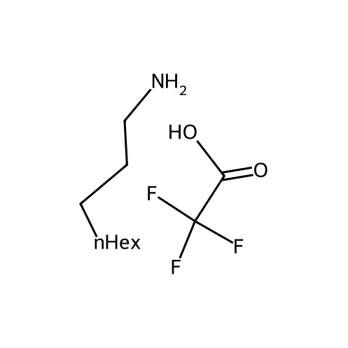 CCCCCCCCCN.O=C(O)C(F)(F)F